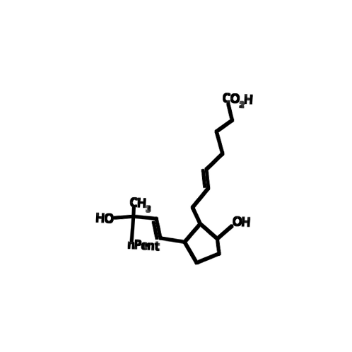 CCCCCC(C)(O)/C=C/C1CCC(O)C1C/C=C/CCCC(=O)O